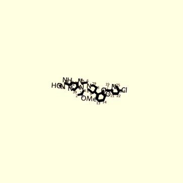 COC(C)Cn1c(CN2CCC(c3cccc4c3O[C@@](C)(c3ccc(Cl)cn3)O4)CC2)nc2cc(C(N)=NO)ncc21